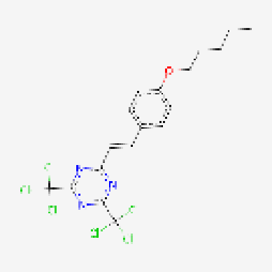 CCCCCOc1ccc(C=Cc2nc(C(Cl)(Cl)Cl)nc(C(Cl)(Cl)Cl)n2)cc1